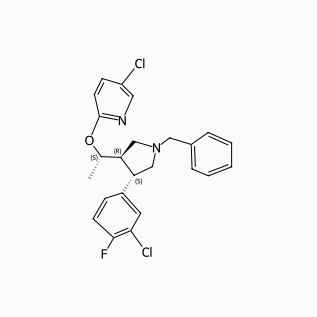 C[C@H](Oc1ccc(Cl)cn1)[C@H]1CN(Cc2ccccc2)C[C@@H]1c1ccc(F)c(Cl)c1